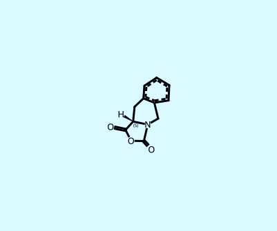 O=C1OC(=O)N2Cc3ccccc3C[C@@H]12